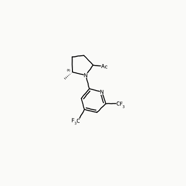 CC(=O)C1CC[C@@H](C)N1c1cc(C(F)(F)F)cc(C(F)(F)F)n1